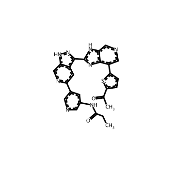 CCC(=O)Nc1cncc(-c2cc3c(-c4nc5c(-c6ccc(C(C)=O)s6)cncc5[nH]4)n[nH]c3cn2)c1